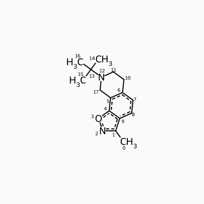 Cc1noc2c3c(ccc12)CCN(C(C)(C)C)C3